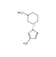 Nc1cnn([C@H]2CCCN(C(=O)O)C2)c1